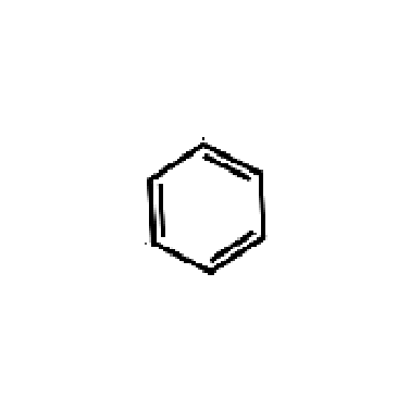 [c]1c[c]ccc1